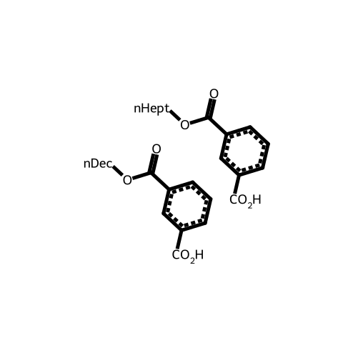 CCCCCCCCCCOC(=O)c1cccc(C(=O)O)c1.CCCCCCCOC(=O)c1cccc(C(=O)O)c1